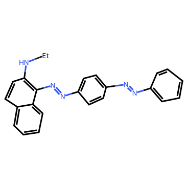 CCNc1ccc2ccccc2c1N=Nc1ccc(N=Nc2ccccc2)cc1